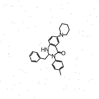 Cc1ccc(N2C(=O)c3cc(N4CCCCC4)ccc3NC2Cc2ccccc2)cc1